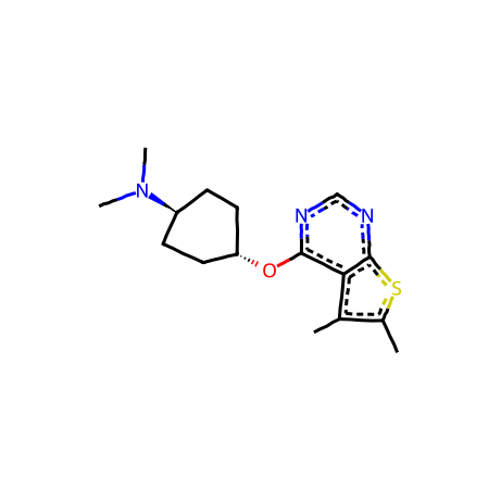 Cc1sc2ncnc(O[C@H]3CC[C@H](N(C)C)CC3)c2c1C